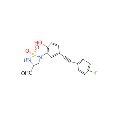 O=CC1CN(c2cc(C#Cc3ccc(F)cc3)ccc2O)S(=O)(=O)N1